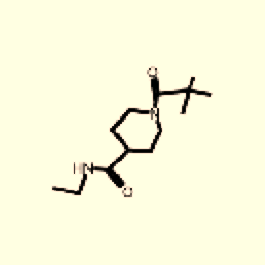 CCNC(=O)C1CCN(C(=O)C(C)(C)C)CC1